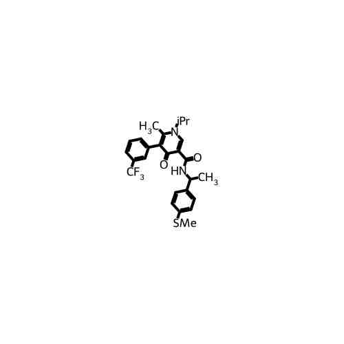 CSc1ccc(C(C)NC(=O)c2cn(C(C)C)c(C)c(-c3cccc(C(F)(F)F)c3)c2=O)cc1